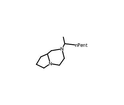 CCCCCC(C)N1CCN2CCCC2C1